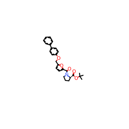 CC(C)(C)OC(=O)[C@H]1CCCN1C(=O)c1ccc(COc2ccc(-c3ccccc3)cc2)o1